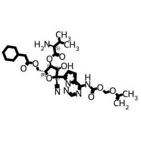 C=C(C)OCOC(=O)Nc1ncnn2c([C@]3(C#N)O[C@H](COC(=O)CC4CCCCC4)[C@@H](OC(=O)[C@@H](N)C(C)C)[C@H]3O)ccc12